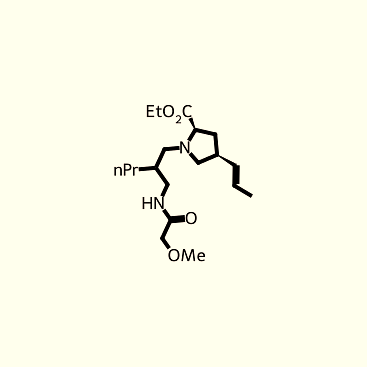 CC=C[C@@H]1C[C@H](C(=O)OCC)N(CC(CCC)CNC(=O)COC)C1